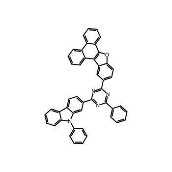 c1ccc(-c2nc(-c3ccc4oc5c6ccccc6c6ccccc6c5c4c3)nc(-c3ccc4c5ccccc5n(-c5ccccc5)c4c3)n2)cc1